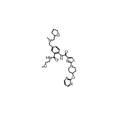 COCCNC(=O)c1cc(CN(C)CC2CCCO2)ccc1NC(=O)c1csc(N2CCC(Oc3ncccn3)CC2)n1